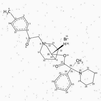 Cc1ccc(C(=O)C[N+]23CCC(CC2)[C@@H](OC(=O)[C@](C)(c2ccccc2)N2CCCCC2)C3)cc1.[Br-]